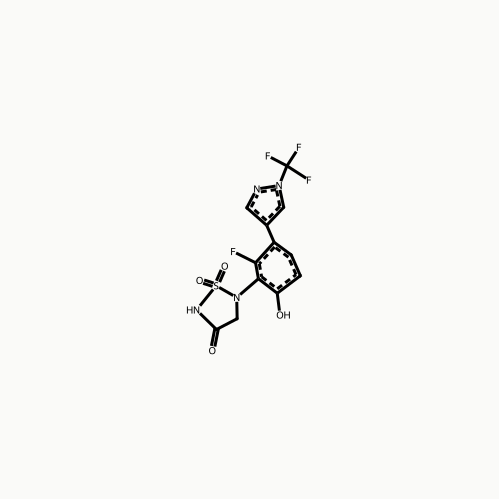 O=C1CN(c2c(O)ccc(-c3cnn(C(F)(F)F)c3)c2F)S(=O)(=O)N1